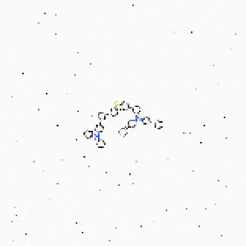 c1ccc(-c2ccc(N(c3ccc(-c4ccccc4)cc3)c3cccc(-c4ccc5sc6cc(-c7cccc(-c8ccc9c(c8)c8ccccc8n9-c8ccccc8)c7)ccc6c5c4)c3)cc2)cc1